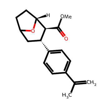 C=C(C)c1ccc([C@@H]2CC3CC[C@@H](O3)[C@H]2C(=O)OC)cc1